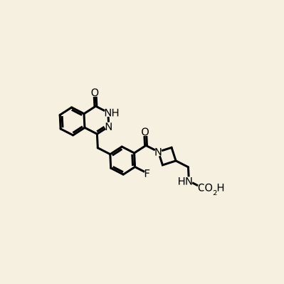 O=C(O)NCC1CN(C(=O)c2cc(Cc3n[nH]c(=O)c4ccccc34)ccc2F)C1